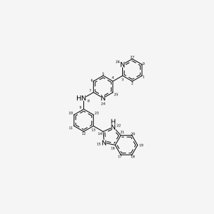 c1ccc(-c2ccc(Nc3cccc(-c4nc5ccccc5[nH]4)c3)nc2)nc1